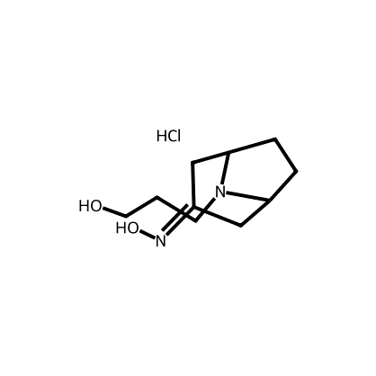 Cl.OCCCN1C2CCC1CC(=NO)C2